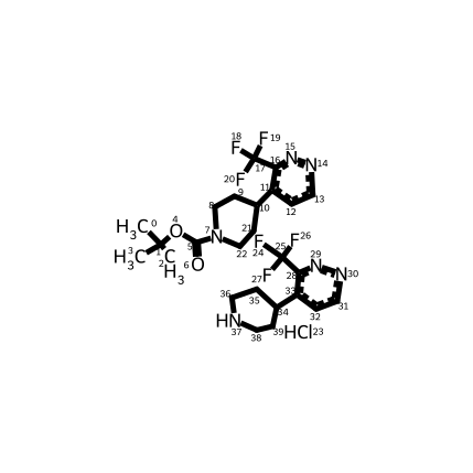 CC(C)(C)OC(=O)N1CCC(c2ccnnc2C(F)(F)F)CC1.Cl.FC(F)(F)c1nnccc1C1CCNCC1